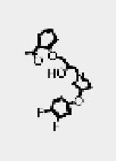 CC(=O)c1ccccc1OCC(O)CN1CCC(Oc2ccc(F)c(F)c2)C1